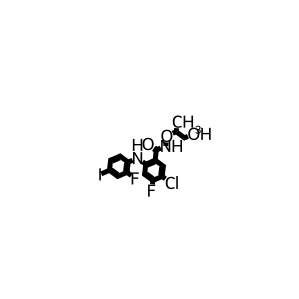 CC(CO)ONC(=O)c1cc(Cl)c(F)cc1Nc1ccc(I)cc1F